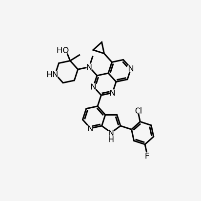 CN(c1nc(-c2ccnc3[nH]c(-c4cc(F)ccc4Cl)cc23)nc2cncc(C3CC3)c12)C1CCNCC1(C)O